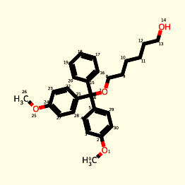 COc1ccc(C(OCCCCCCO)(c2ccccc2)c2ccc(OC)cc2)cc1